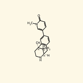 C[C@@H]1[C@H]2Cc3ccc(-c4ccc(=O)n(C)c4)cc3[C@]1(C)CCN2